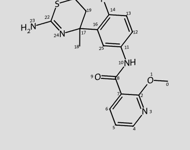 COc1ncccc1C(=O)Nc1ccc(F)c(C2(C)CCSC(N)=N2)c1